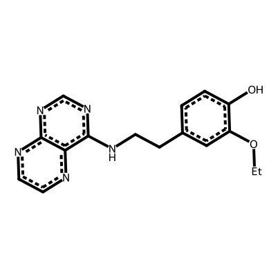 CCOc1cc(CCNc2ncnc3nccnc23)ccc1O